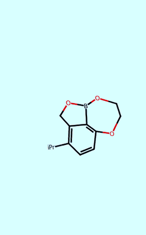 CC(C)c1ccc2c3c1COB3OCCO2